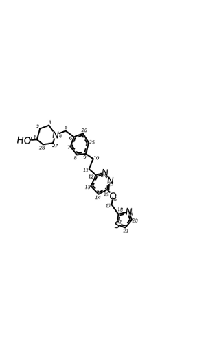 OC1CCN(Cc2ccc(CCc3ccc(OCc4nccs4)nn3)cc2)CC1